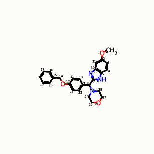 COc1ccc2[nH]c(C(c3ccc(OCc4ccccc4)cc3)N3CCOCC3)nc2c1